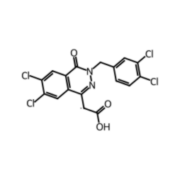 O=C(O)[CH]c1nn(Cc2ccc(Cl)c(Cl)c2)c(=O)c2cc(Cl)c(Cl)cc12